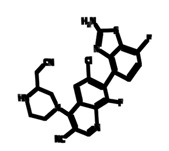 N#CCC1CN(c2c(C#N)cnc3c(F)c(-c4ccc(F)c5sc(N)nc45)c(Cl)cc23)CCN1